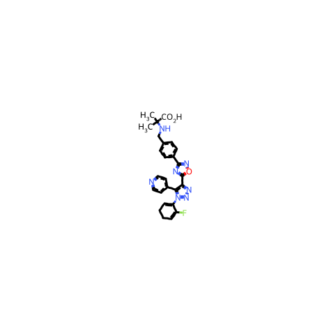 CC(C)(NCc1ccc(-c2noc(-c3nnn(C4=CCCC=C4F)c3-c3ccncc3)n2)cc1)C(=O)O